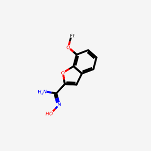 CCOc1cccc2cc(C(N)=NO)oc12